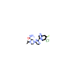 NC(=O)[C@@H]1CN(c2ccnc(-c3cnc4cc(F)c(Cl)cn34)n2)CCN1C1CC1